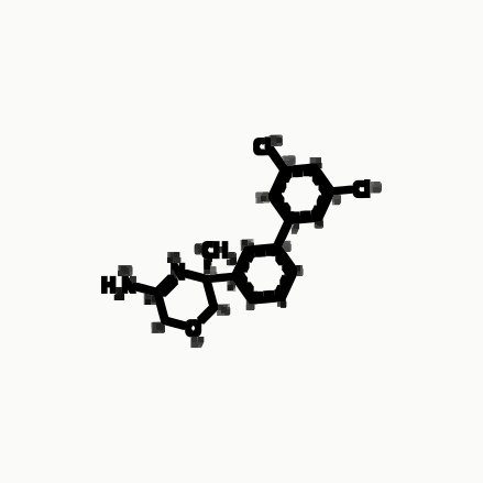 C[C@]1(c2cccc(-c3cc(Cl)cc(Cl)c3)c2)COCC(N)=N1